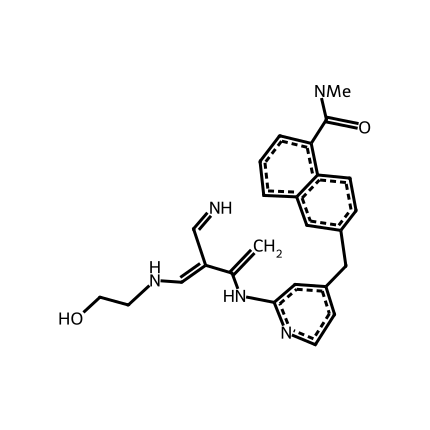 C=C(Nc1cc(Cc2ccc3c(C(=O)NC)cccc3c2)ccn1)/C(C=N)=C/NCCO